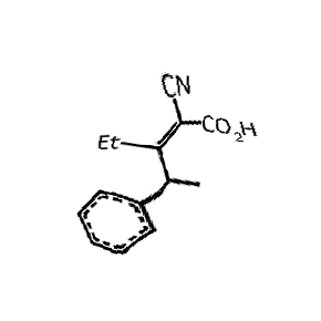 CC/C(=C(\C#N)C(=O)O)C(C)c1ccccc1